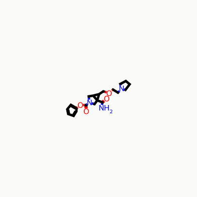 NC(=O)C12CN(C(=O)Oc3ccccc3)CC1C2COCCN1CCCC1